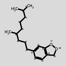 CC(C)CCCC(C)CCCc1ccc2c(c1)OOC2